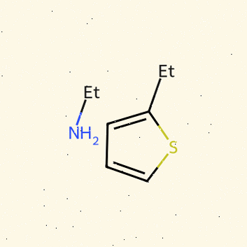 CCN.CCc1cccs1